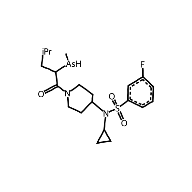 C[AsH]C(CC(C)C)C(=O)N1CCC(N(C2CC2)S(=O)(=O)c2cccc(F)c2)CC1